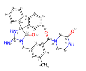 Cc1cc(CN2C(=N)NC(c3ccccc3)(c3ccccc3)C2=O)cc(C(=O)N2CCNC(=O)C2)c1